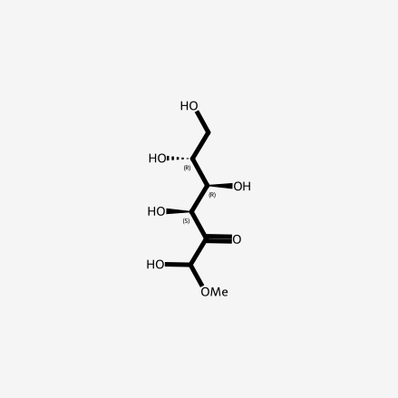 COC(O)C(=O)[C@@H](O)[C@H](O)[C@H](O)CO